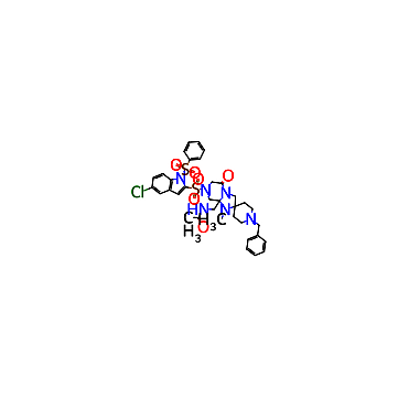 CC(=O)NCC12CN(S(=O)(=O)c3cc4cc(Cl)ccc4n3S(=O)(=O)c3ccccc3)CC(=O)N1CC1(CCN(Cc3ccccc3)CC1)N2C